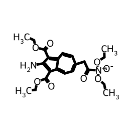 CCOC(=O)c1c2ccc(CC(=O)[N+]([O-])(OCC)OCC)ccc-2c(C(=O)OCC)c1N